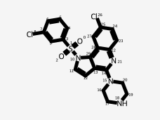 O=S(=O)(c1cccc(Cl)c1)n1ccc2c(N3CCNCC3)nc3ccc(Cl)cc3c21